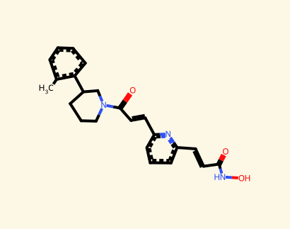 Cc1ccccc1C1CCCN(C(=O)/C=C/c2cccc(/C=C/C(=O)NO)n2)C1